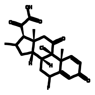 CC1C[C@H]2[C@@H]3CC(F)C4=CC(=O)C=C[C@]4(C)[C@@]3(Cl)C(=O)C[C@]2(C)[C@H]1C(=O)C(=O)O